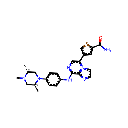 C[C@@H]1CN(c2ccc(Nc3ncc(-c4csc(C(N)=O)c4)n4ccnc34)cc2)[C@@H](C)CN1C